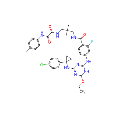 Cc1ccc(NC(=O)C(=O)NCC(C)(C)CNC(=O)c2ccc(NC3=NC(NC4(c5ccc(Cl)cc5)CC4)=NC(OCC(F)(F)F)N3)cc2F)cc1